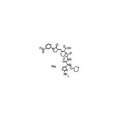 Nc1nc(C(=NOC2CCCC2)C(=O)N[C@@H]2C(=O)N3C(C(=O)O)=C(C=C4CCN(c5cccc([N+](=O)[O-])c5)C4=O)CC[C@H]23)cs1.[Na]